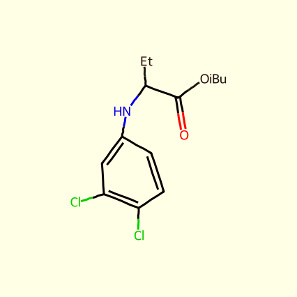 CCC(Nc1ccc(Cl)c(Cl)c1)C(=O)OCC(C)C